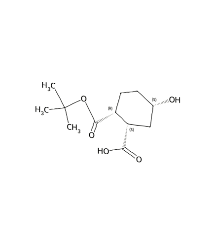 CC(C)(C)OC(=O)[C@@H]1CC[C@H](O)C[C@@H]1C(=O)O